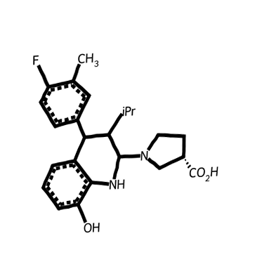 Cc1cc(C2c3cccc(O)c3NC(N3CC[C@H](C(=O)O)C3)C2C(C)C)ccc1F